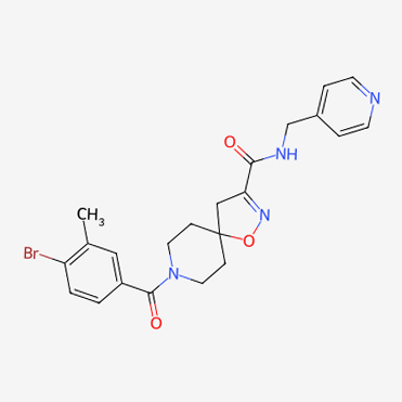 Cc1cc(C(=O)N2CCC3(CC2)CC(C(=O)NCc2ccncc2)=NO3)ccc1Br